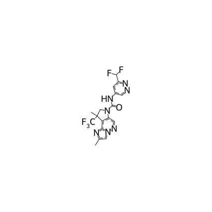 Cc1cn2ncc3c(c2n1)C(C)(C(F)(F)F)CN3C(=O)Nc1cnnc(C(F)F)c1